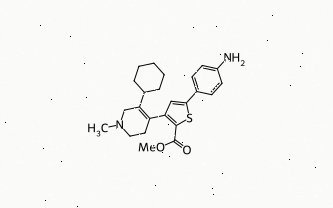 COC(=O)c1sc(-c2ccc(N)cc2)cc1C1=C(C2CCCCC2)CN(C)CC1